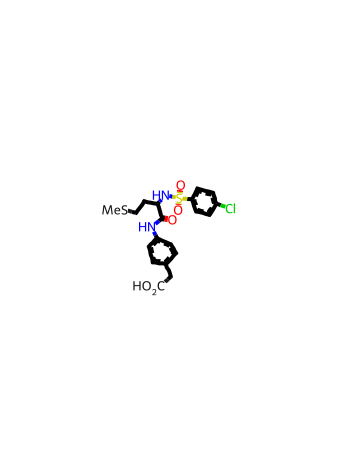 CSCCC(NS(=O)(=O)c1ccc(Cl)cc1)C(=O)Nc1ccc(CC(=O)O)cc1